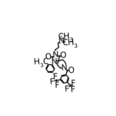 Cc1ccccc1N1C(=O)N(CCCN(C)C)C(=O)C12CCN(C(=O)c1cc(C(F)(F)F)cc(C(F)(F)F)c1)CC2